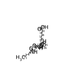 CCCCCNC(=O)CC(=O)NC[C@@H]1[C@H](CCCCCCC(=O)O)[C@@H]2CC[C@H]1O2